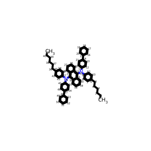 CCCCCCc1ccc(N(c2ccc(-c3ccccc3)cc2)c2c3ccccc3c(N(c3ccc(CCCCCC)cc3)c3ccc(-c4ccccc4)cc3)c3ccccc23)cc1